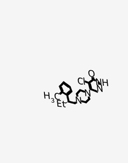 CC[C@@H](CN1CCN(c2cn[nH]c(=O)c2Cl)CC1)c1ccccc1C